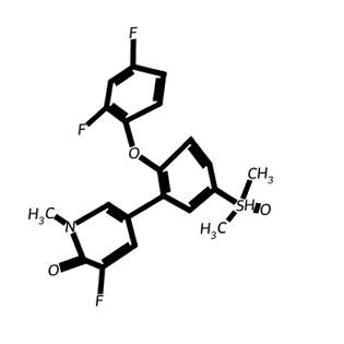 Cn1cc(-c2cc([SH](C)(C)=O)ccc2Oc2ccc(F)cc2F)cc(F)c1=O